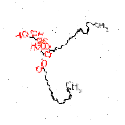 CC/C=C\C/C=C\C/C=C\CCCCCCCC(=O)OC[C@H](COP(=O)(O)OCC(O)CO)OC(=O)CCCCCCC/C=C\C/C=C\C/C=C\CC